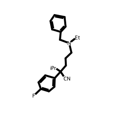 CCN(CCCC(C#N)(c1ccc(F)cc1)C(C)C)Cc1ccccc1